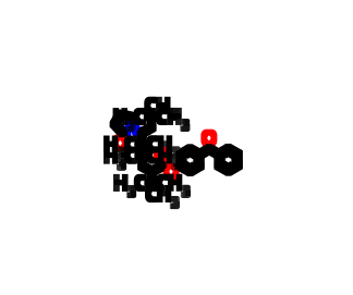 CC(C)(C)CC(N1CCCC1=O)C(C)(C)C(C)(C)CC(C(=O)Oc1ccc(C(=O)c2ccccc2)cc1)C(C)(C)C